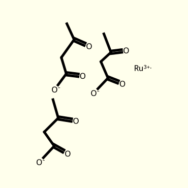 CC(=O)CC(=O)[O-].CC(=O)CC(=O)[O-].CC(=O)CC(=O)[O-].[Ru+3]